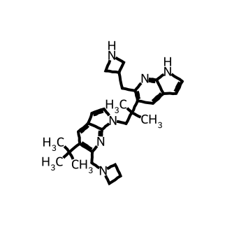 CC(C)(C)c1cc2ccn(CC(C)(C)c3cc4cc[nH]c4nc3CC3CNC3)c2nc1CN1CCC1